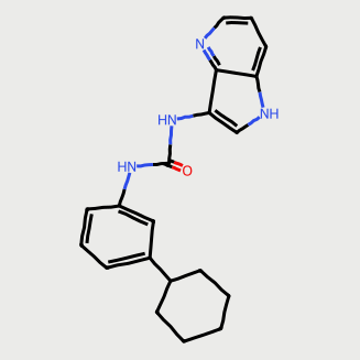 O=C(Nc1cccc(C2CCCCC2)c1)Nc1c[nH]c2cccnc12